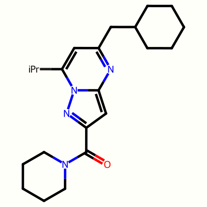 CC(C)c1cc(CC2CCCCC2)nc2cc(C(=O)N3CCCCC3)nn12